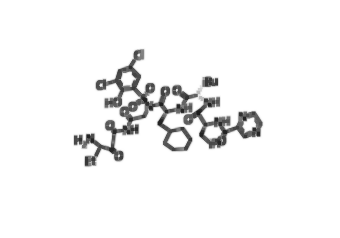 CCC(N)C(=O)C(=O)NC(=O)CN(C(=O)[C@H](CC1CCCCC1)NC(=O)[C@@H](NC(=O)[C@H](CC(C)C)NC(=O)c1cnccn1)[C@@H](C)CC)S(=O)(=O)c1cc(Cl)cc(Cl)c1O